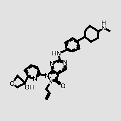 C=CCn1c(=O)c2cnc(Nc3ccc(C4CCC(NC)CC4)cc3)nc2n1-c1cccc(C2(O)COC2)n1